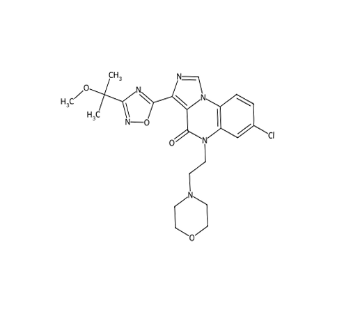 COC(C)(C)c1noc(-c2ncn3c2c(=O)n(CCN2CCOCC2)c2cc(Cl)ccc23)n1